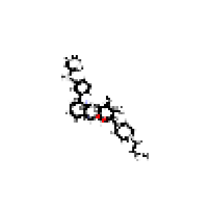 C=CC(=O)Nc1cccc(C2=CC=CC(=C/N=C)/C2=N\c2ccc(N3CCN(CCO)CC3)c(F)c2F)c1